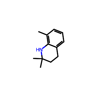 Cc1cccc2c1NC(C)(C)CC2